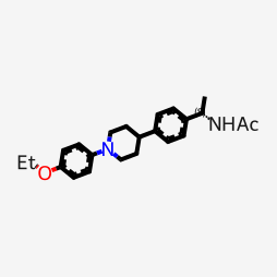 CCOc1ccc(N2CCC(c3ccc([C@H](C)NC(C)=O)cc3)CC2)cc1